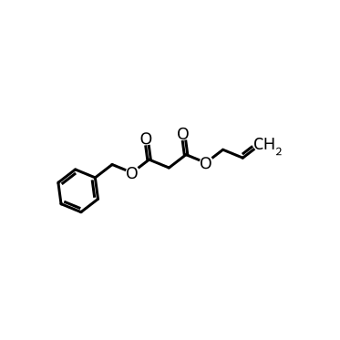 C=CCOC(=O)CC(=O)OCc1ccccc1